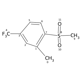 Cc1cc(C(F)(F)F)ccc1S(C)(=O)=O